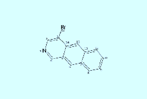 Brc1cncc2cc3ccccc3cc12